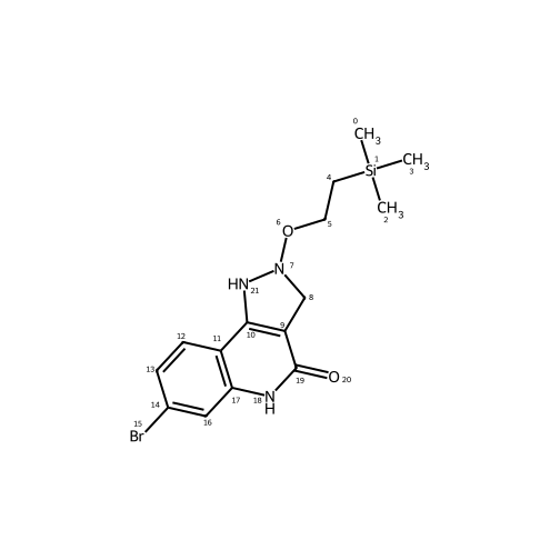 C[Si](C)(C)CCON1Cc2c(c3ccc(Br)cc3[nH]c2=O)N1